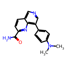 CN(C)c1ccc(-c2cncc3ccc(C(N)=O)nc23)cc1